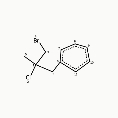 CC(Cl)(CBr)Cc1ccccc1